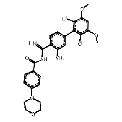 COc1cc(OC)c(Cl)c(-c2ccc(C(=N)NC(=O)c3ccc(N4CCOCC4)cc3)c(N)c2)c1Cl